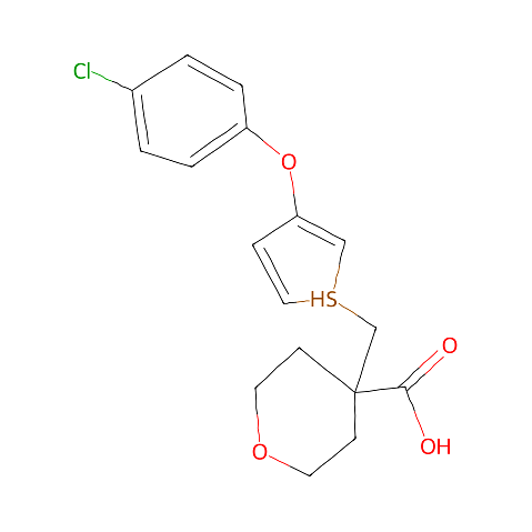 O=C(O)C1(C[SH]2C=CC(Oc3ccc(Cl)cc3)=C2)CCOCC1